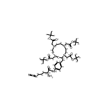 CC(C)(C)OC(=O)CN1CCN(CC(=O)OC(C)(C)C)CCN(CC(=O)OC(C)(C)C)C(Cc2ccc(NC(=O)[C@@H](N)CCCN=[N+]=[N-])cc2)CN(CC(=O)OC(C)(C)C)CC1